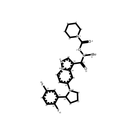 CC(C)(C)N(OC(=O)N1CCCCC1)C(=O)c1cnn2ccc(N3CCCC3c3cc(F)ccc3F)cc12